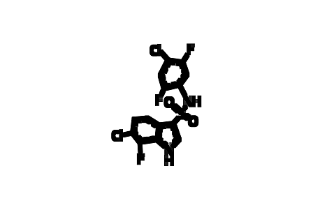 O=S(=O)(Nc1cc(F)c(Cl)cc1F)c1c[nH]c2c(F)c(Cl)ccc12